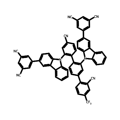 N#Cc1cc(C#N)cc(-c2ccc3c(c2)c2ccccc2n3-c2cc(C#N)ccc2-c2ccc(-c3ccc(C(F)(F)F)cc3C#N)cc2-n2c3ccccc3c3cc(-c4cc(C#N)cc(C#N)c4)ccc32)c1